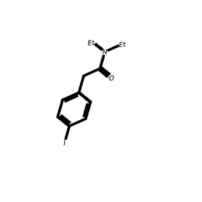 CCN(CC)C(=O)Cc1ccc(I)cc1